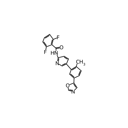 Cc1ccc(-c2cnco2)cc1-c1ccc(NC(=O)c2c(F)cccc2F)nc1